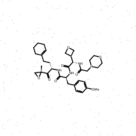 COc1ccc(C[C@H](NC(=O)[C@@H](NC(=O)CN2CCOCC2)C2COC2)C(=O)N[C@@H](CCC2=CCCCC2)C(=O)[C@@]2(C)CO2)cc1